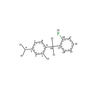 Cc1cc(C(C)C)ccc1C(C)(C)c1ccccc1F